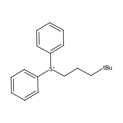 CC(C)(C)CCC[S+](c1ccccc1)c1ccccc1